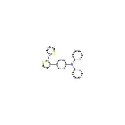 c1ccc(N(c2ccccc2)c2ccc(-c3ccsc3-c3cccs3)cc2)cc1